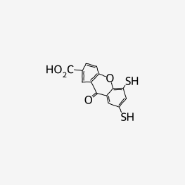 O=C(O)c1ccc2oc3c(S)cc(S)cc3c(=O)c2c1